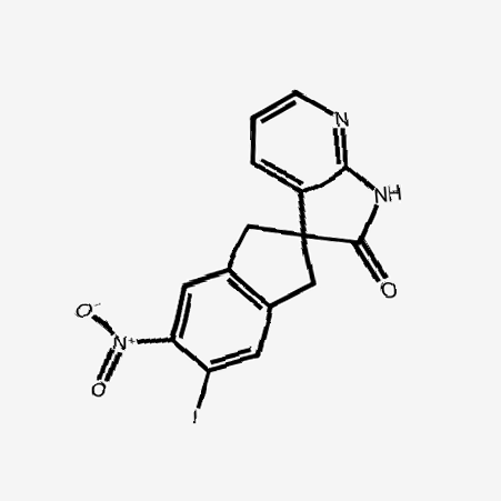 O=C1Nc2ncccc2C12Cc1cc(I)c([N+](=O)[O-])cc1C2